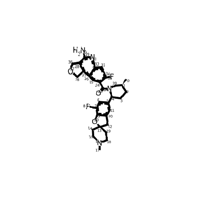 C[C@H]1CCC(c2cc(F)c3c(c2)CC2(CCN(C)CC2)O3)N(C(=O)c2cc3c4c(c(N)nc3cc2F)COC4)C1